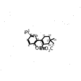 CCOC(=O)C1=C(c2nc(C(C)C)ccc2OC)CCC(C)(C)C1